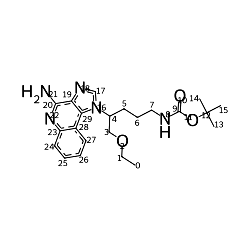 CCOCC(CCCNC(=O)OC(C)(C)C)n1cnc2c(N)nc3ccccc3c21